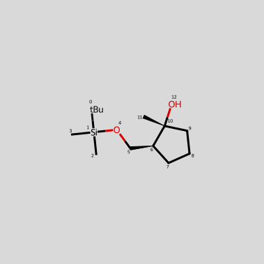 CC(C)(C)[Si](C)(C)OC[C@@H]1CCC[C@@]1(C)O